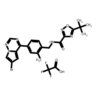 Cc1cc(-c2ncnn3cc(Br)cc23)ccc1CNC(=O)c1noc(C(C)(C)C)n1.O=C(O)C(F)(F)F